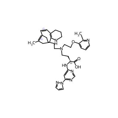 C/C1=C(CCCCN(CCOc2cccnc2C)CC[C@H](Nc2cc(-n3cccn3)ncn2)C(=O)O)\C=C/C2=C(CC1)NCCC2